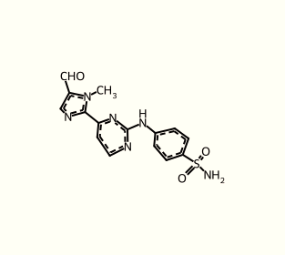 Cn1c(C=O)cnc1-c1ccnc(Nc2ccc(S(N)(=O)=O)cc2)n1